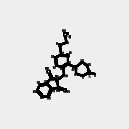 CN1CCN(c2nc(OCC(F)(F)F)ccc2CN2C(=O)c3ccccc3C2=O)CC1